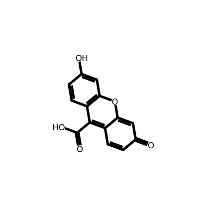 O=C(O)c1c2ccc(=O)cc-2oc2cc(O)ccc12